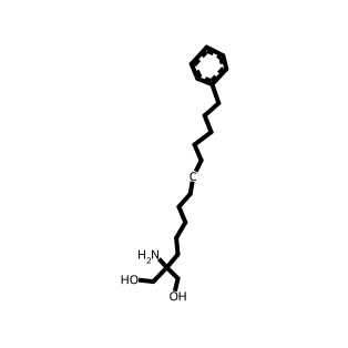 NC(CO)(CO)CCCCCCCCCCCc1ccccc1